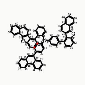 c1ccc(N(c2ccc(-c3cc4ccccc4c4ccccc34)cc2)c2ccc(-c3cccc4oc5c6ccccc6ccc5c34)cc2)c(-c2cccc3oc4c5ccccc5ccc4c23)c1